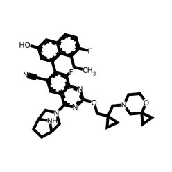 CCc1c(F)ccc2cc(O)cc(-c3c(C#N)cc4c(N5CC6CCC(C5)N6)nc(OCC5(CN6CCOC7(CC7)C6)CC5)nc4c3F)c12